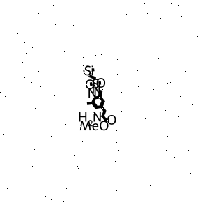 COC(=O)[C@H](N)Cc1cc(C)c2nn(S(=O)(=O)CC[Si](C)(C)C)cc2c1